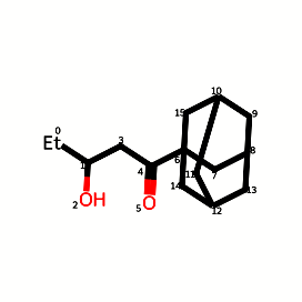 CCC(O)CC(=O)C12CC3CC(CC(C3)C1)C2